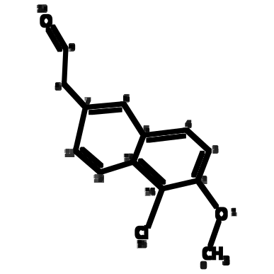 COc1ccc2cc(CC=O)ccc2c1Cl